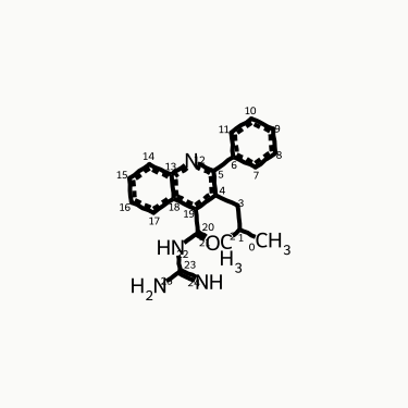 CC(C)Cc1c(-c2ccccc2)nc2ccccc2c1C(=O)NC(=N)N